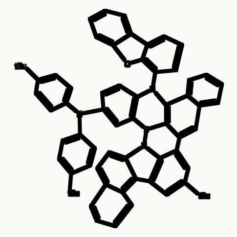 CC(C)(C)c1ccc(N(c2ccc(C(C)(C)C)cc2)c2ccc3c(c2)B2c4c(cc5ccccc5c4N3c3cccc4c3oc3ccccc34)-c3cc(C(C)(C)C)cc4c5c6ccccc6ccc5n2c34)cc1